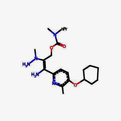 CCCN(C)C(=O)OC/C(=C(/N)c1ccc(OC2CCCCC2)c(C)n1)N(C)N